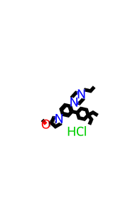 CCCN1CCN(c2ccc(N3CC[C@@H](OC)C3)cc2C2CCC(CC)(CC)CC2)CC1.Cl